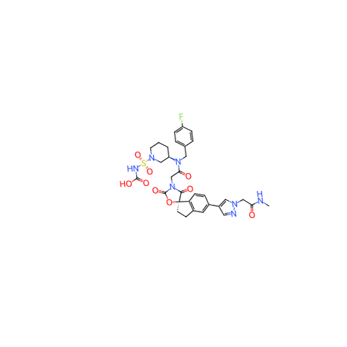 CNC(=O)Cn1cc(-c2ccc3c(c2)CC[C@@]32OC(=O)N(CC(=O)N(Cc3ccc(F)cc3)[C@@H]3CCCN(S(=O)(=O)NC(=O)O)C3)C2=O)cn1